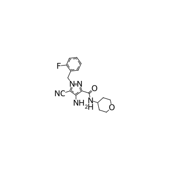 N#Cc1c(N)c(C(=O)NC2CCOCC2)nn1Cc1ccccc1F